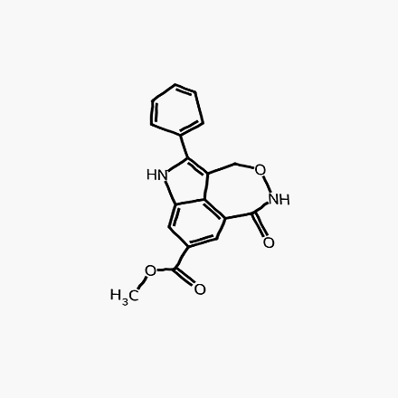 COC(=O)c1cc2c3c(c(-c4ccccc4)[nH]c3c1)CONC2=O